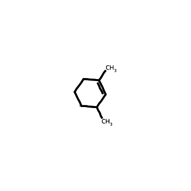 CC1=CC(C)[CH]CC1